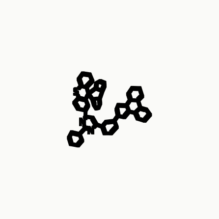 c1ccc(-c2nc(-c3cccc(-c4ccc5c6ccccc6c6ccccc6c5c4)c3)cc(-c3ccc4c(c3)C3(c5ccccc5S4)c4ccccc4-c4ccccc43)n2)cc1